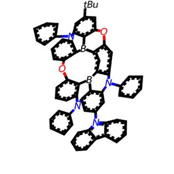 CC(C)(C)c1cc2c3c(c1)N(c1ccccc1)c1cccc4c1B3c1cc3c(cc1O2)N(c1ccccc1)c1cc(-n2c5ccccc5c5ccccc52)cc2c1B3c1c(cccc1N2c1ccccc1)O4